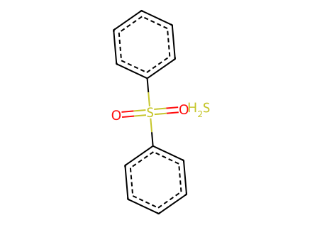 O=S(=O)(c1ccccc1)c1ccccc1.S